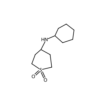 O=S1(=O)CCC(NC2CCCCC2)CC1